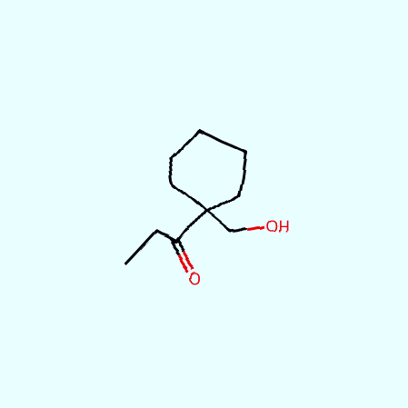 CCC(=O)C1(CO)CCCCC1